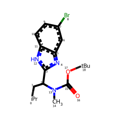 CC(C)CC(c1nc2cc(Br)ccc2[nH]1)N(C)C(=O)OC(C)(C)C